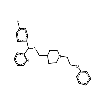 Fc1ccc([C@H](NCC2CCN(CCOc3ccccc3)CC2)c2ccccn2)cc1